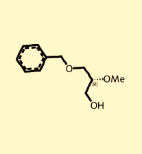 CO[C@H](CO)COCc1ccccc1